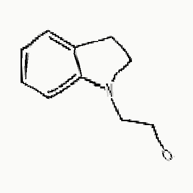 [O]CCN1CCc2ccccc21